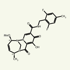 CO[C@@H]1C=C[C@H](C)N2CN1n1cc(C(=O)NCc3c(F)cc(C)cc3F)c(=O)c(O)c1C2=O